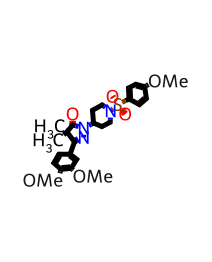 COc1ccc(S(=O)(=O)N2CCC(N3N=C(c4ccc(OC)c(OC)c4)C(C)(C)C3=O)CC2)cc1